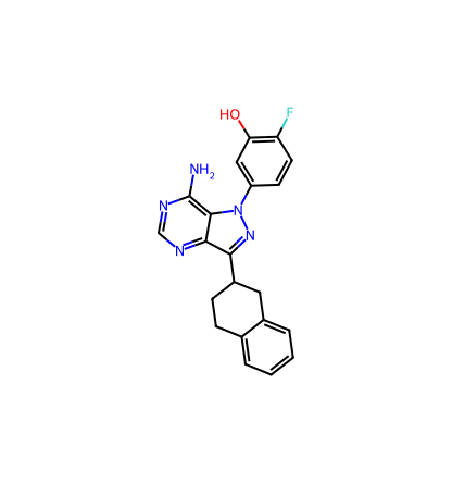 Nc1ncnc2c(C3CCc4ccccc4C3)nn(-c3ccc(F)c(O)c3)c12